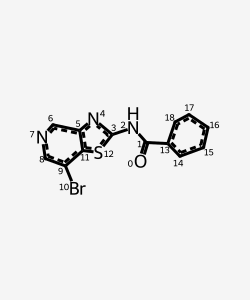 O=C(Nc1nc2cncc(Br)c2s1)c1ccccc1